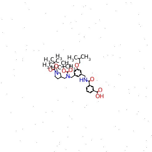 CC(C)COc1cc(CNC(=O)c2cccc(C(=O)O)c2)cc(CN(CC2CCN(C(=O)OC(C)(C)C)C2)C(=O)OC(C)(C)C)c1